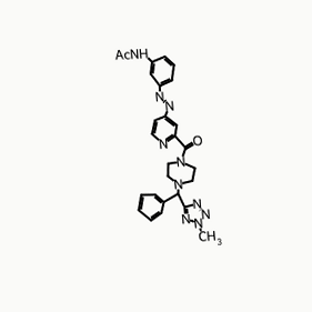 CC(=O)Nc1cccc(/N=N/c2ccnc(C(=O)N3CCN(C(c4ccccc4)c4nnn(C)n4)CC3)c2)c1